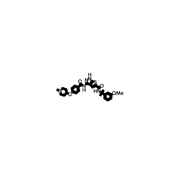 COc1cccc(C(C)(C)NC(=O)c2cc3c(NC(=O)c4ccc(OC5CCN(C)CC5)cc4)n[nH]c3s2)c1